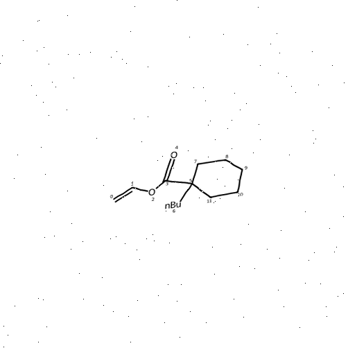 C=COC(=O)C1(CCCC)CCCCC1